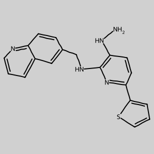 NNc1ccc(-c2cccs2)nc1NCc1ccc2ncccc2c1